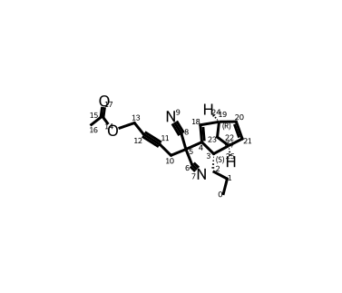 CCC[C@@H]1C(C(C#N)(C#N)CC#CCOC(C)=O)=C[C@H]2C=C[C@@H]1C2